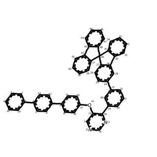 c1ccc(-c2ccc(-c3ccc(Oc4cncnc4-c4cccc(-c5ccc6c(c5)-c5ccccc5C65c6ccccc6-c6ccccc65)c4)cc3)cc2)cc1